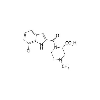 CN1CCN(C(=O)c2cc3cccc(Cl)c3[nH]2)C(C(=O)O)C1